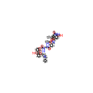 CC(C)(C)OC(=O)N(Cc1ccc(C(=O)NCCNC(=O)COc2cccc([C@](O)(C(=O)OCC3CCN(Cc4ccccc4)CC3)c3ccccc3)c2)cc1)C[C@H](O[Si](C)(C)C(C)(C)C)c1ccc(O)c2[nH]c(=O)ccc12